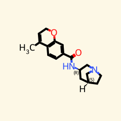 CC1=CCOc2cc(C(=O)N[C@@H]3C[C@@H]4CCN(C4)C3)ccc21